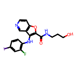 O=C(NCCCO)c1oc2ccncc2c1Nc1ccc(I)cc1F